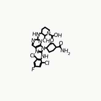 CC1C(Nc2ncc3nc(Nc4c(Cl)cc(F)cc4Cl)n(C4CCC(C(N)=O)CC4)c3n2)CCCN1C(=O)O